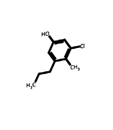 CCCc1cc(O)cc(Cl)c1C